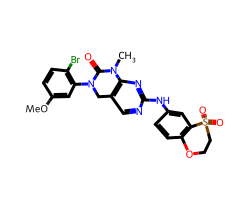 COc1ccc(Br)c(N2Cc3cnc(Nc4ccc5c(c4)S(=O)(=O)CCO5)nc3N(C)C2=O)c1